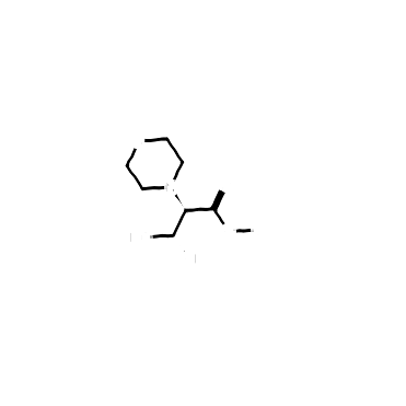 COC(=O)[C@@H]([C@H](C)O)N1CCSCC1